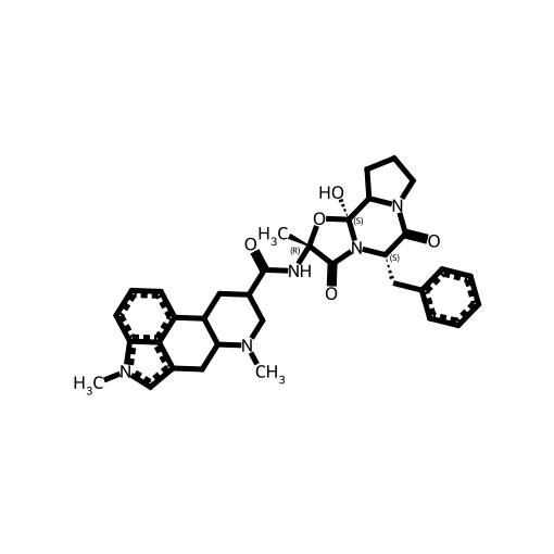 CN1CC(C(=O)N[C@]2(C)O[C@@]3(O)C4CCCN4C(=O)[C@H](Cc4ccccc4)N3C2=O)CC2c3cccc4c3c(cn4C)CC21